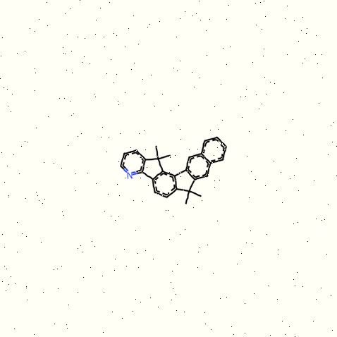 CC1(C)c2cc3ccccc3cc2-c2c1ccc1c2C(C)(C)c2cccnc2-1